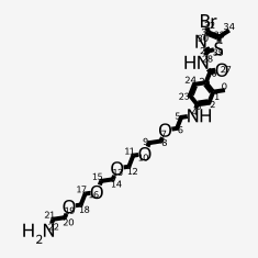 Cc1cc(NCCOCCOCCOCCOCCOCCN)ccc1C(=O)Nc1nc(Br)c(C)s1